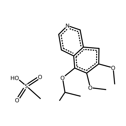 COc1cc2cnccc2c(OC(C)C)c1OC.CS(=O)(=O)O